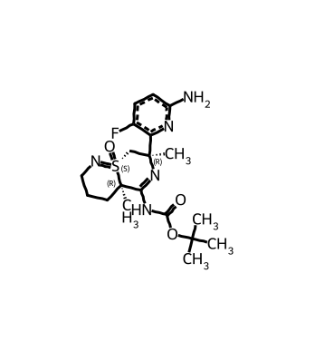 CC(C)(C)OC(=O)NC1=N[C@](C)(c2nc(N)ccc2F)C[S@@]2(=O)=NCCC[C@]12C